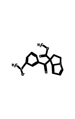 COC(=O)C1(C(=O)c2cccc([S+](C)[O-])c2)CCn2cccc21